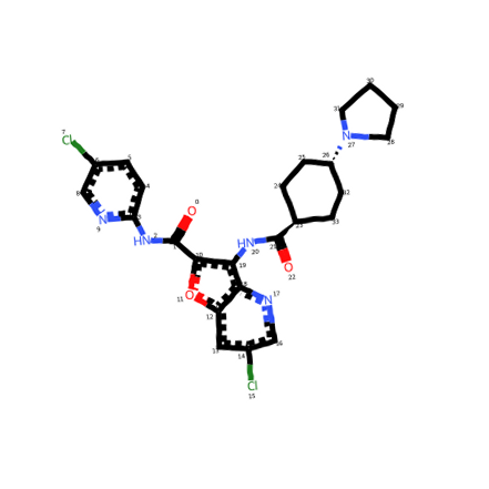 O=C(Nc1ccc(Cl)cn1)c1oc2cc(Cl)cnc2c1NC(=O)[C@H]1CC[C@H](N2CCCC2)CC1